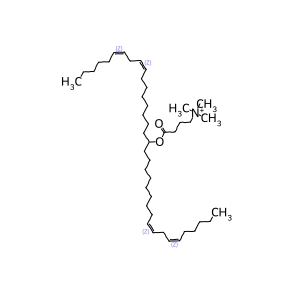 CCCCC/C=C\C/C=C\CCCCCCCCC(CCCCCCC/C=C\C/C=C\CCCCC)OC(=O)CCC[N+](C)(C)C